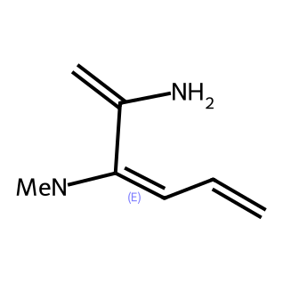 C=C/C=C(/NC)C(=C)N